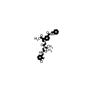 CC(=O)c1cn(CC(=O)N(CC(=O)NCc2cccc(Cl)c2F)C(C)C)c2ccc(C(=O)NCc3ccccc3)cc12